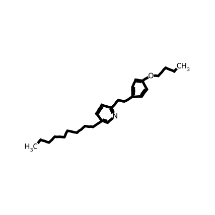 CCCCCCCCCc1ccc(CCc2ccc(OCCCC)cc2)nc1